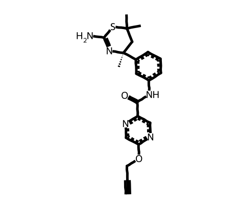 C#CCOc1cnc(C(=O)Nc2cccc([C@]3(C)CC(C)(C)SC(N)=N3)c2)cn1